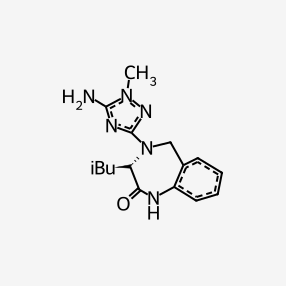 CC[C@H](C)[C@H]1C(=O)Nc2ccccc2CN1c1nc(N)n(C)n1